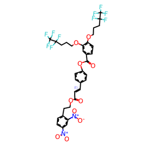 O=C(/C=C/c1ccc(OC(=O)c2ccc(OCCCC(F)(F)C(F)(F)F)c(OCCCC(F)(F)C(F)(F)F)c2)cc1)OCCc1ccc([N+](=O)[O-])cc1[N+](=O)[O-]